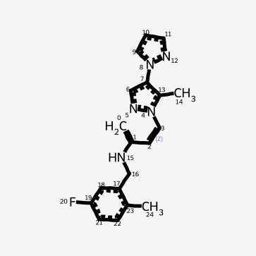 C=C(/C=C\n1ncc(-n2cccn2)c1C)NCc1cc(F)ccc1C